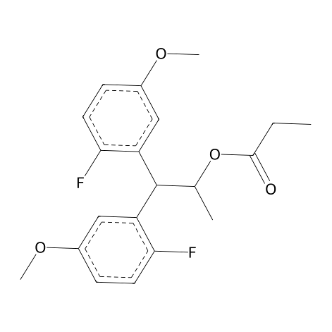 CCC(=O)OC(C)C(c1cc(OC)ccc1F)c1cc(OC)ccc1F